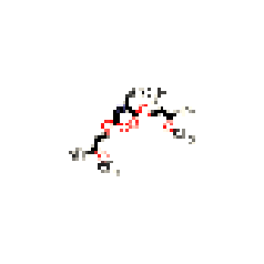 CCCC(CCOC(=O)/C=C(/CC(=O)O)C(=O)OCCC(CCC)OC(F)(F)F)OC(F)(F)F